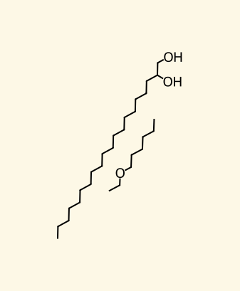 CCCCCCCCCCCCCCCCCCC(O)CO.CCCCCCOCC